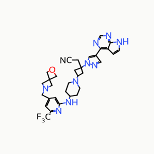 N#CCC1(n2cc(-c3ncnc4[nH]ccc34)cn2)CC(N2CCC(Nc3cc(CN4CC5(COC5)C4)cc(C(F)(F)F)n3)CC2)C1